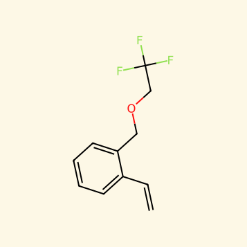 C=Cc1ccccc1COCC(F)(F)F